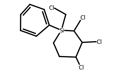 ClC[Si]1(c2ccccc2)CCC(Cl)C(Cl)C1Cl